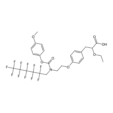 CCOC(Cc1ccc(OCCN(CC(F)(F)C(F)(F)C(F)(F)C(F)(F)C(F)(F)F)C(=O)Oc2ccc(OC)cc2)cc1)C(=O)O